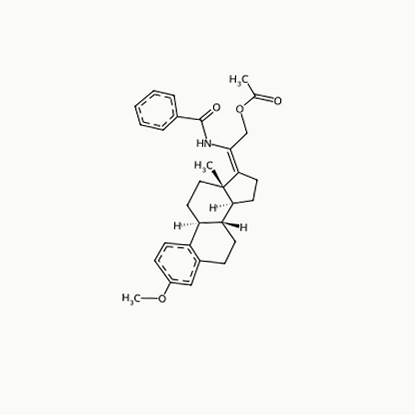 COc1ccc2c(c1)CC[C@@H]1[C@@H]2CC[C@]2(C)C(=C(COC(C)=O)NC(=O)c3ccccc3)CC[C@@H]12